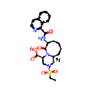 CCS(=O)(=O)N1C[C@@H]2CCCC[C@H](NC(=O)c3nccc4ccccc34)C(=O)N2[C@H](C(=O)O)C1